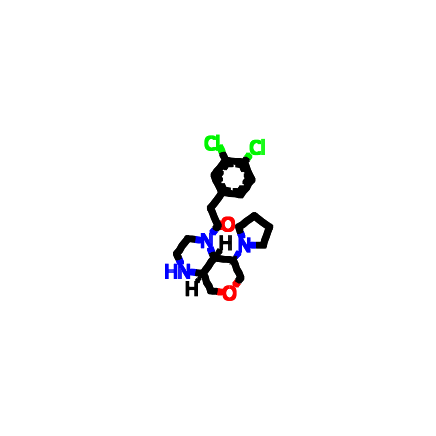 O=C(Cc1ccc(Cl)c(Cl)c1)N1CCN[C@@H]2COC[C@H](N3CCCC3)[C@H]21